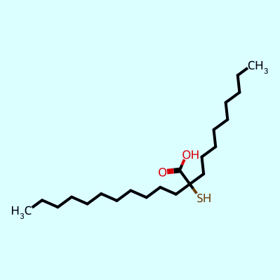 CCCCCCCCCCCC(S)(CCCCCCCCC)C(=O)O